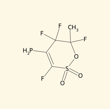 CC1(F)OS(=O)(=O)C(F)=C(P)C1(F)F